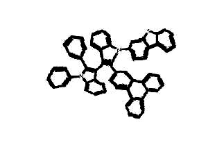 c1ccc(-c2c(-c3c(-c4ccc5c6ccccc6c6ccccc6c5c4)n(-c4ccc5c(c4)sc4ccccc45)c4ccccc34)c3ccccc3n2-c2ccccc2)cc1